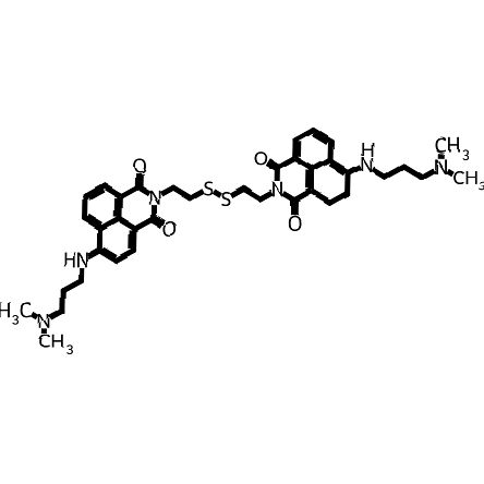 CN(C)CCCNC1=c2cccc3c2=C(CC1)C(=O)N(CCSSCCN1C(=O)c2cccc4c(NCCCN(C)C)ccc(c24)C1=O)C3=O